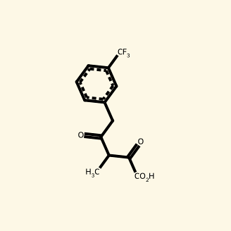 CC(C(=O)Cc1cccc(C(F)(F)F)c1)C(=O)C(=O)O